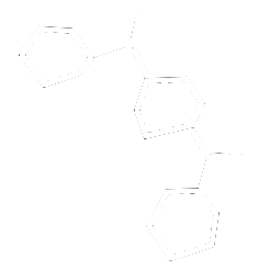 O[Si](c1ccccc1)=c1ccc(=[Si](O)c2ccccc2)cc1